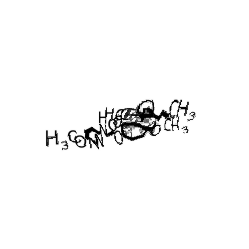 COc1ccc(NCC(=O)O[C@@H]2CC[C@]3(CO3)[C@@H]([C@@]3(C)OC3CC=C(C)C)[C@@H]2OC)nn1